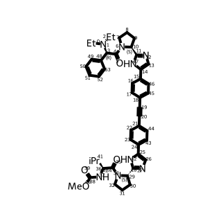 CCN(CC)[C@@H](C(=O)N1CCC[C@H]1c1ncc(-c2ccc(C#Cc3ccc(-c4cnc([C@@H]5CCCN5C(=O)[C@@H](NC(=O)OC)C(C)C)[nH]4)cc3)cc2)[nH]1)c1ccccc1